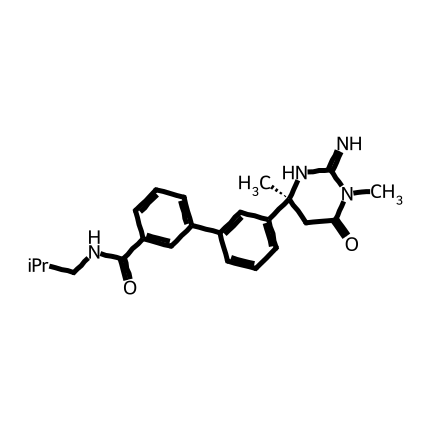 CC(C)CNC(=O)c1cccc(-c2cccc([C@]3(C)CC(=O)N(C)C(=N)N3)c2)c1